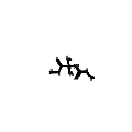 CCCC[C@@](C)(NC(=O)OC(C)(C)C)C(=O)OC(C)C